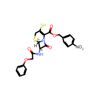 O=C(COc1ccccc1)N[C@@H]1C(=O)N2C(C(=O)OCc3ccc([N+](=O)[O-])cc3)=C(S)CS[C@@H]12